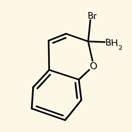 BC1(Br)C=Cc2ccccc2O1